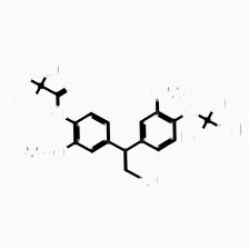 CCC(C)CC(c1ccc(OC(=O)C(C)(C)CC)c(OC)c1)c1ccc(OC(C)(C)CC)c(OC)c1